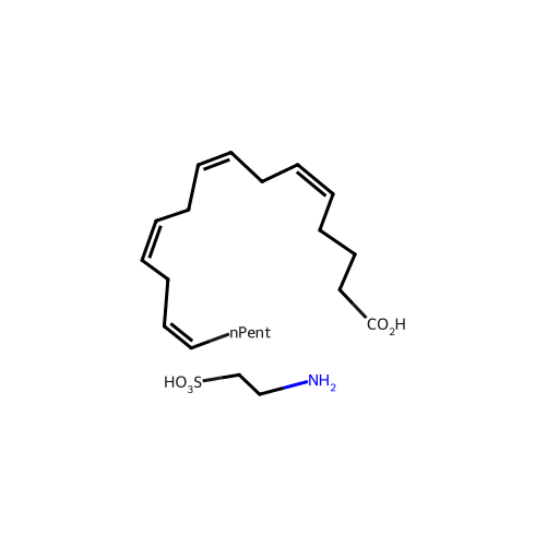 CCCCC/C=C\C/C=C\C/C=C\C/C=C\CCCC(=O)O.NCCS(=O)(=O)O